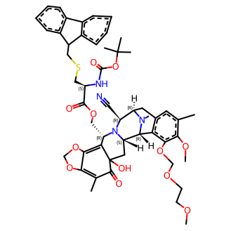 COCCOCOc1c(OC)c(C)cc2c1[C@@H]1[C@@H]3CC4(O)C(=O)C(C)=C5OCOC5=C4[C@H](COC(=O)[C@@H](CSCC4c5ccccc5-c5ccccc54)NC(=O)OC(C)(C)C)N3[C@@H](C#N)[C@@H](C2)N1C